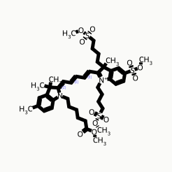 COC(=O)CCCCCN1\C(=C/C=C/C=C/C2=[N+](CCCCS(=O)(=O)OC)c3ccc(S(=O)(=O)OC)cc3C2(C)CCCCS(=O)(=O)OC)C(C)(C)c2cc(C)ccc21